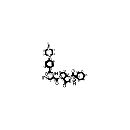 CC(C)CC(NC(=O)c1ccc(N2CCN(C)CC2)cc1)C(=O)N1CCC2C1C(=O)CN2C(=O)C1(O)CCCCC1